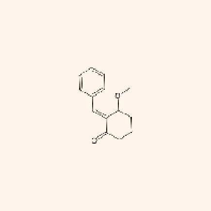 COC1CCCC(=O)C1=Cc1ccccc1